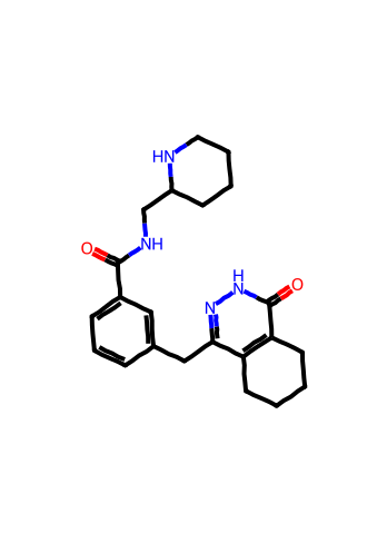 O=C(NCC1CCCCN1)c1cccc(Cc2n[nH]c(=O)c3c2CCCC3)c1